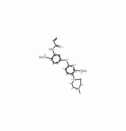 C=CC(=O)Nc1cc(Sc2ccc(N3CCN(C)CC3)c(OC)n2)ccc1OC